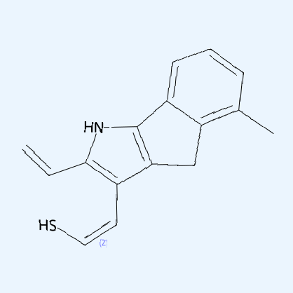 C=Cc1[nH]c2c(c1/C=C\S)Cc1c(C)cccc1-2